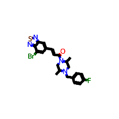 CC1CN(C(=O)C=Cc2cc(Br)c3nsnc3c2)C(C)CN1Cc1ccc(F)cc1